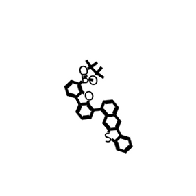 CC1(C)OB(c2cccc3c2oc2c(-c4cccc5cc6c(cc45)sc4ccccc46)cccc23)OC1(C)C